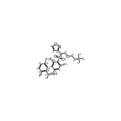 C[C@H](Nc1cc(F)c(S(=O)(=O)N(COCCS(C)(C)C)c2ccon2)c(F)c1)c1cc(F)ccc1F